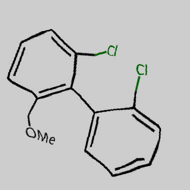 COc1cccc(Cl)c1-c1ccccc1Cl